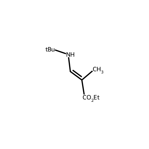 CCOC(=O)C(C)=CNC(C)(C)C